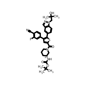 CC(C)(O)Cn1ncc2cc(-c3sc(C(=O)N4CCC[C@@H](NC(=O)OC(C)(C)C)C4)cc3-c3ccc(C#N)c(F)c3)ccc21